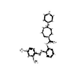 Nc1ccc(/N=N/c2ccccc2OC(=O)N2CCCC(N3CCOCC3)CC2)c(N)c1